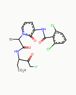 CCC(C(=O)NC(CC(=O)O)C(=O)CF)n1cccc(NC(=O)c2c(Cl)cccc2Cl)c1=O